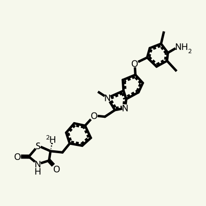 [2H][C@@]1(Cc2ccc(OCc3nc4ccc(Oc5cc(C)c(N)c(C)c5)cc4n3C)cc2)SC(=O)NC1=O